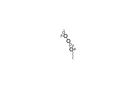 CCCCCc1ccc(COc2ccc(-c3ccc(OCC)c(F)c3)cc2)c(F)c1F